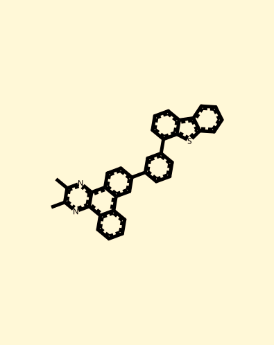 Cc1nc2c3ccccc3c3cc(-c4cccc(-c5cccc6c5sc5ccccc56)c4)ccc3c2nc1C